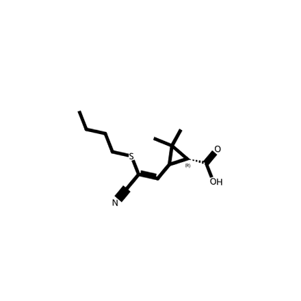 CCCCSC(C#N)=CC1[C@@H](C(=O)O)C1(C)C